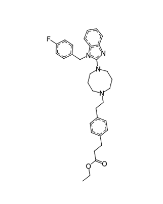 CCOC(=O)CCc1ccc(CCN2CCCN(c3nc4ccccc4n3Cc3ccc(F)cc3)CCC2)cc1